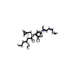 C=N/C=C\C=C(/C)n1cc(N(CC2CC2)C(=O)CC(CCC)SC)c(Cl)n1